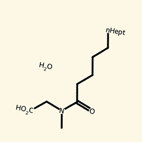 CCCCCCCCCCCC(=O)N(C)CC(=O)O.O